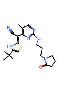 Cc1cnc(NCCCN2CCCC2=O)nc1/C(C#N)=C1/NC(C(C)(C)C)=CS1